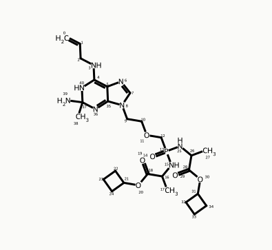 C=CCNC1=c2ncn(CCOCP(=O)(NC(C)C(=O)OC3CCC3)NC(C)C(=O)OC3CCC3)c2=NC(C)(N)N1